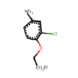 CCOC(=O)COc1ccc([N+](=O)[O-])cc1Cl